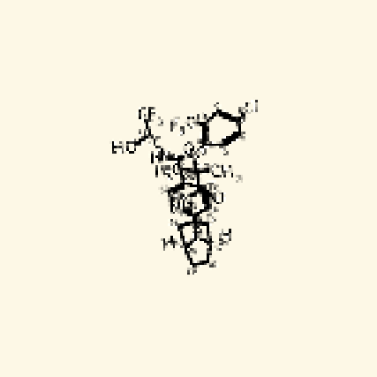 CC(C)(Oc1ccc(Cl)cc1C(F)(F)F)C(=O)N[C@H]1C[C@H]2CC[C@@H](C1)N2c1ccc(C(=O)NCC(O)C(F)(F)F)cn1